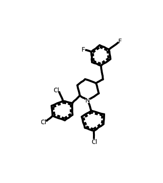 Fc1cc(F)cc(CC2CCC(c3ccc(Cl)cc3Cl)N(c3ccc(Cl)cc3)C2)c1